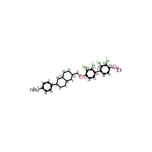 CCCCc1ccc(C2CCC3CC(COc4ccc(-c5ccc(OCC)c(F)c5F)c(F)c4F)CCC3C2)cc1